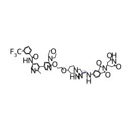 Cc1ncc(NC(=O)c2cccc(C(F)(F)F)c2)cc1-c1cnc(OCCOC2CCN(C/C(=C/Nc3ccc4c(c3)C(=O)N(C3CC(=O)NC(=O)C3)C4=O)N=N)CC2)c(N2CCOCC2)c1